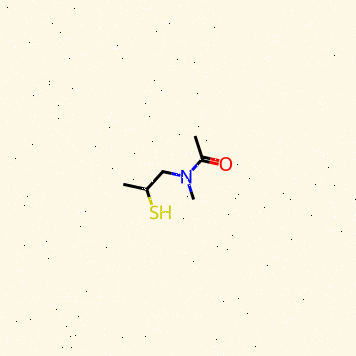 CC(=O)N(C)CC(C)S